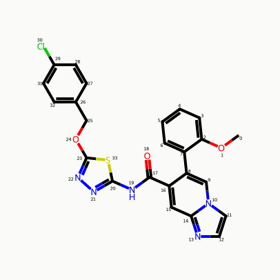 COc1ccccc1-c1cn2ccnc2cc1C(=O)Nc1nnc(OCc2ccc(Cl)cc2)s1